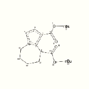 CCCCOC(=O)c1ccn2c1C(C(=O)OCCCC)CCCC2